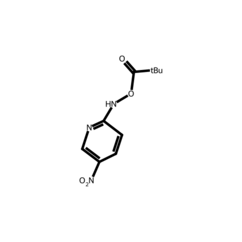 CC(C)(C)C(=O)ONc1ccc([N+](=O)[O-])cn1